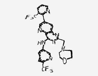 FC(F)(F)c1ccc(Nc2nc(CN3CCOCC3)nc3cc(-c4ncccc4C(F)(F)F)cnc23)cn1